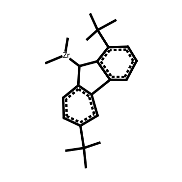 [CH3][Zr]([CH3])[CH]1c2ccc(C(C)(C)C)cc2-c2cccc(C(C)(C)C)c21